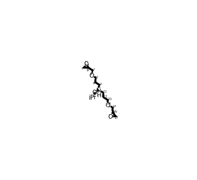 CC(C)O[SiH](CCCOCC1CO1)CCCOCC1CO1